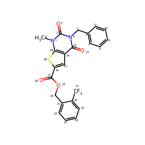 Cn1c(=O)n(Cc2ccccc2)c(=O)c2cc(C(=O)OCc3ccccc3C(F)(F)F)sc21